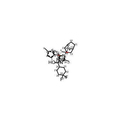 Cc1ccc([C@H](CCN2C3CCC2CC(n2c(C)nnc2C(C)C)C3)NC(O)C2CCC(F)(F)CC2)s1